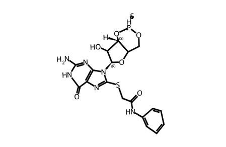 Nc1nc2c(nc(SCC(=O)Nc3ccccc3)n2[C@@H]2OC3CO[PH](=S)O[C@H]3C2O)c(=O)[nH]1